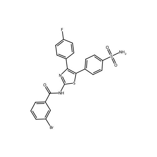 NS(=O)(=O)c1ccc(-c2sc(NC(=O)c3cccc(Br)c3)nc2-c2ccc(F)cc2)cc1